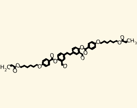 C=CC(=O)OCCCCCCOc1ccc(C(=O)Oc2ccc(CCc3ccc(OC(=O)c4ccc(OCCCCCCOC(=O)C=C)cc4)c(C=O)c3)cc2C=O)cc1